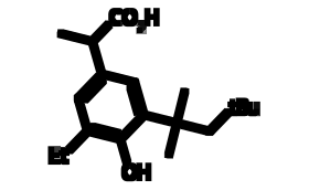 CCc1cc(C(C)C(=O)O)cc(C(C)(C)CC(C)(C)C)c1O